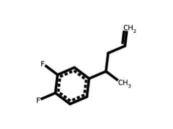 C=CC[C](C)c1ccc(F)c(F)c1